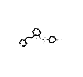 O=S(=O)(Nc1ccccc1C=Cc1ccncc1)c1ccc(O)cc1